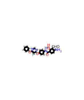 Nc1ccc(C(=O)Nc2ccc(Oc3ncnc(Oc4ccccc4)c3F)cc2)c(O)c1C=O